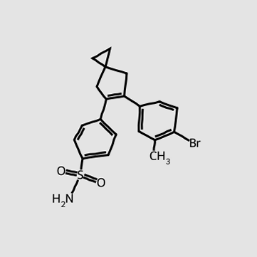 Cc1cc(C2=C(c3ccc(S(N)(=O)=O)cc3)CC3(CC3)C2)ccc1Br